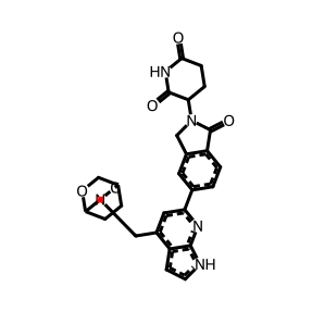 O=C1CCC(N2Cc3cc(-c4cc(CN5CC6CCC(C5)OC6)c5cc[nH]c5n4)ccc3C2=O)C(=O)N1